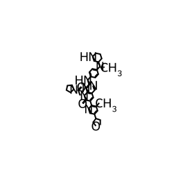 Cc1cc(C2CCOC2)cnc1-c1cc2cnc(Nc3ccc(N(C)C4CCCNC4)cc3)nc2n(CC(=O)N2CCCC2)c1=O